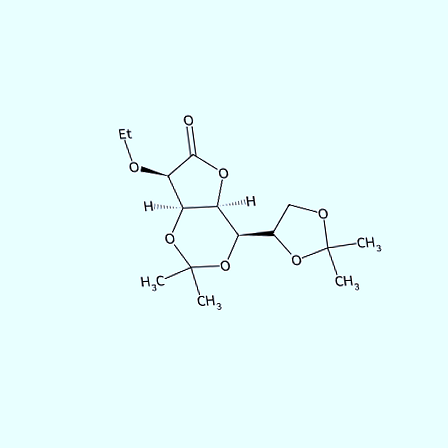 CCO[C@H]1C(=O)O[C@@H]2[C@H]1OC(C)(C)O[C@@H]2C1COC(C)(C)O1